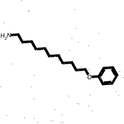 NCCCCCCCCCCCOc1ccccc1